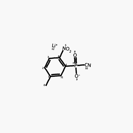 Cc1ccc([N+](=O)[O-])c(P(=O)([O-])C#N)c1.[Li+]